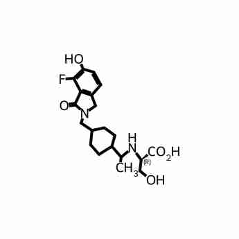 CC(N[C@H](CO)C(=O)O)C1CCC(CN2Cc3ccc(O)c(F)c3C2=O)CC1